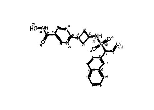 C=CC(c1ccc2ccccc2c1)S(=O)(=O)NC1CN(c2ncc(C(=O)NO)cn2)C1